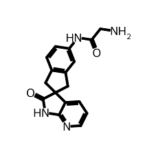 NCC(=O)Nc1ccc2c(c1)CC1(C2)C(=O)Nc2ncccc21